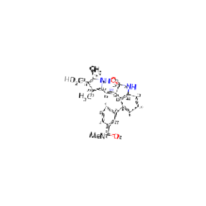 CNC(=O)c1cccc(-c2cccc3c2/C(=C/c2[nH]c(C)c(C(=O)O)c2C)C(=O)N3)c1